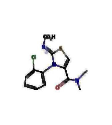 CN(C)C(=O)c1cs/c(=N\C(=O)O)n1-c1ccccc1Cl